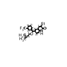 CCc1cc2cc(C(OCCN(C)C)c3cccc(C(F)(F)F)c3)ccc2[nH]c1=O